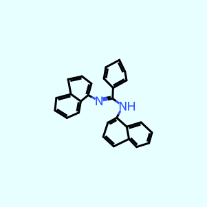 c1ccc(/C(=N\c2cccc3ccccc23)Nc2cccc3ccccc23)cc1